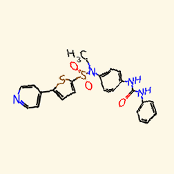 CN(c1ccc(NC(=O)Nc2ccccc2)cc1)S(=O)(=O)c1ccc(-c2ccncc2)s1